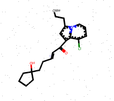 COCCc1cc(C(=O)/C=C/CCC2(O)CCCC2)c2c(Cl)cccn12